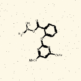 COc1cc(OC)nc(Oc2ccccc2C(=O)ON(C)C)n1